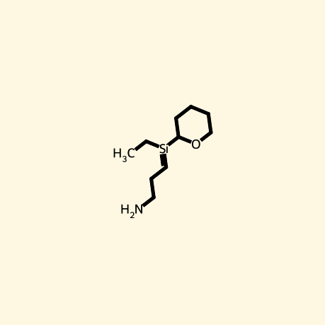 CC[Si](=CCCN)C1CCCCO1